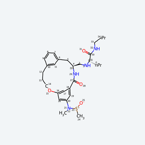 CCC[C@H](NC[C@@H]1Cc2cccc(c2)CCCOc2cc(cc(N(C)[S+](C)[O-])c2)C(=O)N1)C(=O)NCC(C)C